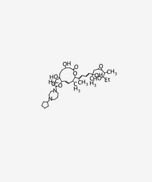 CCC(O)C(C)C1OC1CC(C)(O)/C=C/C=C(\C)C1OC(=O)CC(O)CCC(C)(O)C(OC(=O)N2CCCN(C3CCCC3)CC2)/C=C/C1C